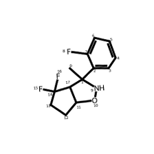 CC1(c2ccccc2F)NOC2CCC(F)(F)C21